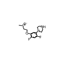 C[S+]([O-])CCOc1cc(N2CCNCC2)c(F)cc1F